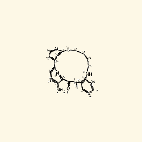 Nc1ncc2nc1C(=O)Nc1cnccc1NCCCCOc1cccc-2c1